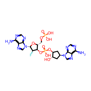 Nc1ncnc2c1ncn2[C@@H]1C[C@H](OP(=O)(O)O[C@H]2[C@@H](F)[C@H](n3cnc4c(N)ncnc43)O[C@@H]2COP(=O)(O)O)[C@@H](O)C1